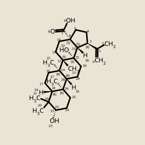 C=C(C)[C@@H]1CC[C@]2(C(=O)O)CC[C@@]3(C)[C@]4(C)CC[C@H]5C(C)(C)[C@@H](O)CC[C@]5(C)[C@H]4CC[C@]3(O)[C@@H]12